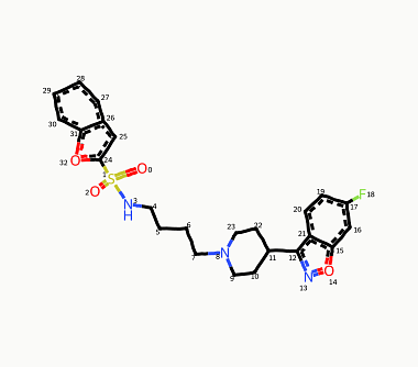 O=S(=O)(NCCCCN1CCC(c2noc3cc(F)ccc23)CC1)c1cc2ccccc2o1